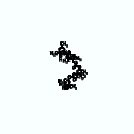 CC(COC(=O)OC(C)(C)C(C)COC(=O)OC(C)CC(C)(N)OC(=O)OC(C)CC(C)(C)O)CC(C)(C)O